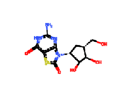 Nc1nc2c(sc(=O)n2[C@@H]2C[C@H](CO)[C@@H](O)[C@H]2O)c(=O)[nH]1